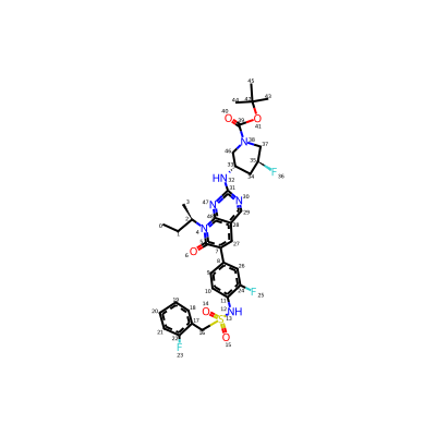 CC[C@@H](C)n1c(=O)c(-c2ccc(NS(=O)(=O)Cc3ccccc3F)c(F)c2)cc2cnc(N[C@H]3C[C@H](F)CN(C(=O)OC(C)(C)C)C3)nc21